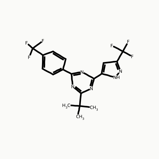 CC(C)(C)c1nc(-c2ccc(C(F)(F)F)cc2)nc(-c2cc(C(F)(F)F)n[nH]2)n1